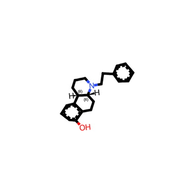 Oc1cccc2c1CC[C@@H]1[C@@H]2CCCN1CCc1ccccc1